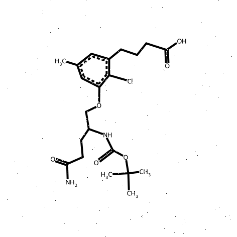 Cc1cc(CCCC(=O)O)c(Cl)c(OCC(CCC(N)=O)NC(=O)OC(C)(C)C)c1